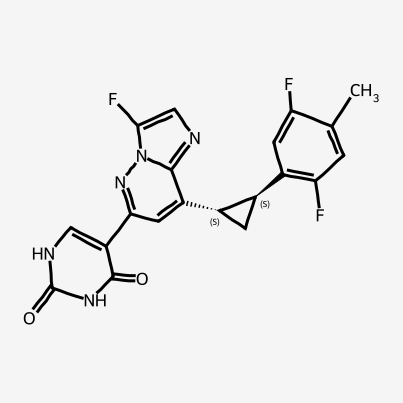 Cc1cc(F)c([C@H]2C[C@@H]2c2cc(-c3c[nH]c(=O)[nH]c3=O)nn3c(F)cnc23)cc1F